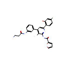 N#Cc1c(-c2cccc(NC(=O)CCN)c2)cc(-c2ccc(Cl)cc2O)nc1NC(=O)c1ccco1